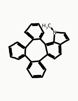 Cn1ccc2ccc3c(c21)-c1ccccc1-c1ccccc1-c1ccccc1-3